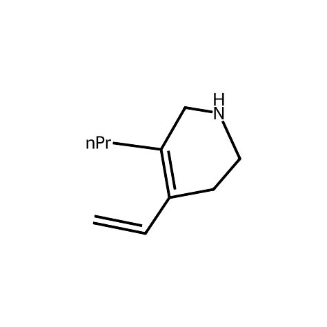 C=CC1=C(CCC)CNCC1